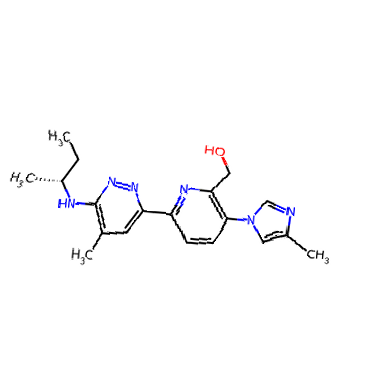 CC[C@@H](C)Nc1nnc(-c2ccc(-n3cnc(C)c3)c(CO)n2)cc1C